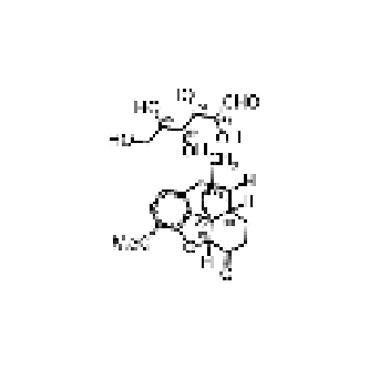 COc1ccc2c3c1O[C@H]1C(=O)CC[C@H]4[C@@H](C2)N(C)CC[C@]314.O=C[C@H](O)[C@@H](O)[C@@H](O)[C@H](O)CO